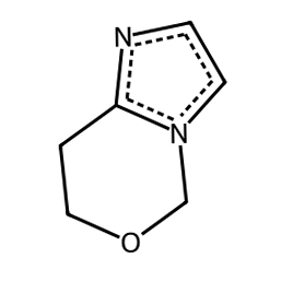 c1cn2c(n1)CCOC2